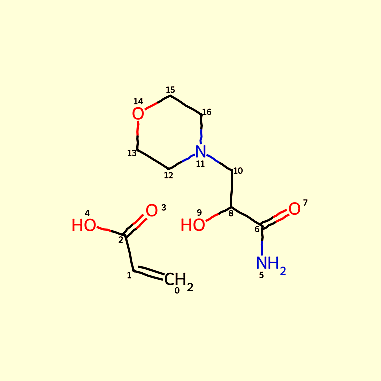 C=CC(=O)O.NC(=O)C(O)CN1CCOCC1